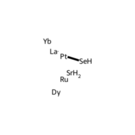 [Dy].[La].[Ru].[SeH][Pt].[SrH2].[Yb]